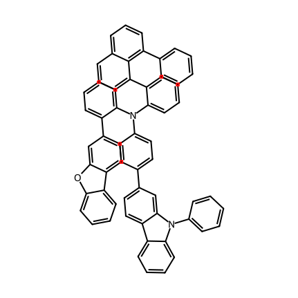 c1ccc(-c2cccc3cccc(-c4ccccc4N(c4ccc(-c5ccc6c7ccccc7n(-c7ccccc7)c6c5)cc4)c4ccccc4-c4ccc5c(c4)oc4ccccc45)c23)cc1